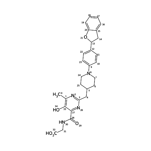 Cc1nc(CC2CCN(c3ccc(C4Cc5ccccc5O4)cc3)CC2)nc(C(=O)NCC(=O)O)c1O